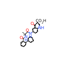 C[C@H](NC(=O)c1ccccc1-c1ccccc1)C(=O)Nc1ccc2[nH]cc(C(=O)O)c(=O)c2c1